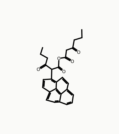 CCCC(=O)CC(=O)OC(=O)C(C(=O)CCC)c1ccc2ccc3cccc4ccc1c2c34